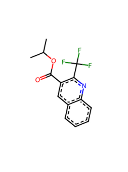 CC(C)OC(=O)c1cc2ccccc2nc1C(F)(F)F